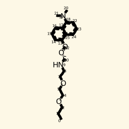 CCCOCCOCCNSOOc1cccc2c(N(C)C)cccc12